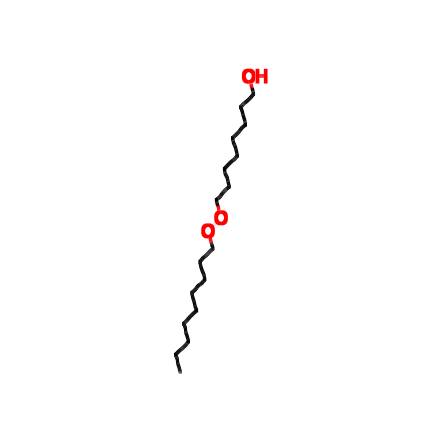 CCCCCCCCCOOCCCCCCCCO